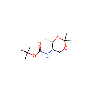 C[C@@H]1OC(C)(C)OC[C@H]1NC(=O)OC(C)(C)C